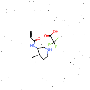 C=CC(=O)N[C@H]1CNCC[C@H]1C.O=C(O)C(F)(F)F